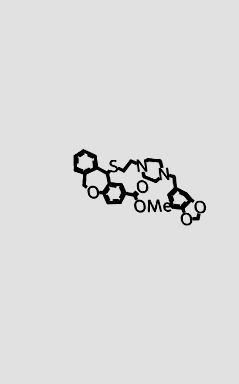 COC(=O)c1ccc2c(c1)C(SCCN1CCN(Cc3ccc4c(c3)OCO4)CC1)c1ccccc1CO2